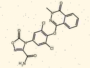 Cn1nc(Oc2c(Cl)cc(-n3c(C(N)=O)noc3=O)cc2Cl)c2ccccc2c1=O